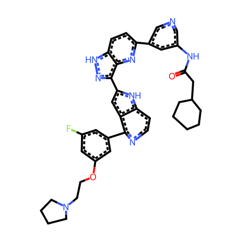 O=C(CC1CCCCC1)Nc1cncc(-c2ccc3[nH]nc(-c4cc5c(-c6cc(F)cc(OCCN7CCCC7)c6)nccc5[nH]4)c3n2)c1